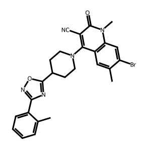 Cc1cc2c(N3CCC(c4nc(-c5ccccc5C)no4)CC3)c(C#N)c(=O)n(C)c2cc1Br